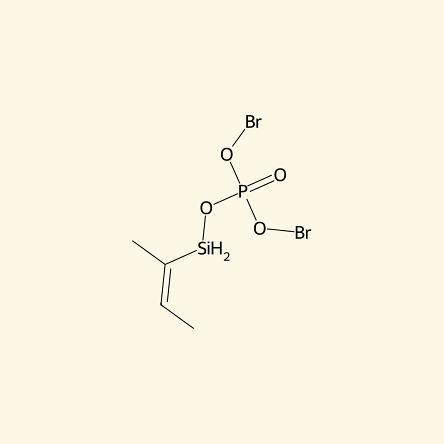 CC=C(C)[SiH2]OP(=O)(OBr)OBr